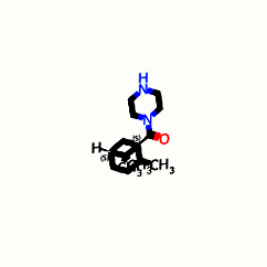 CC1CC[C@H]2C[C@@]1(C(=O)N1CCNCC1)C2(C)C